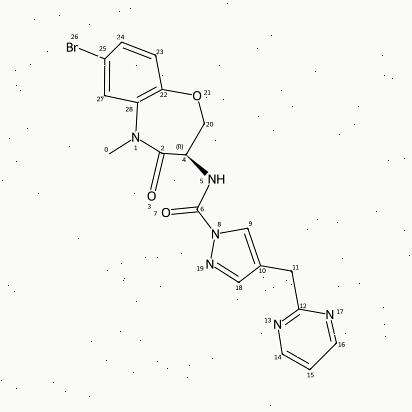 CN1C(=O)[C@H](NC(=O)n2cc(Cc3ncccn3)cn2)COc2ccc(Br)cc21